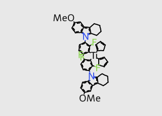 COc1ccc2c(c1)c1c(n2-c2ccc(F)[c]([Ti]([C]3=CC=CC3)([C]3=CC=CC3)[c]3c(F)ccc(-n4c5c(c6cc(OC)ccc64)CCCC5)c3F)c2F)CCCC1